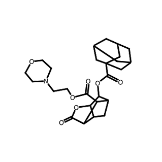 O=C1OC2C3CC(C2OC(=O)C24CC5CC(CC(C5)C2)C4)C(C(=O)OCCN2CCOCC2)C13